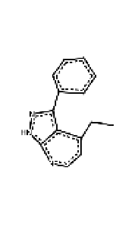 CCc1ccnc2[nH]nc(-c3ccccc3)c12